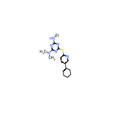 CCNc1nc(Sc2ccc(C3=CCCCC3)cn2)nc(N(C)C)n1